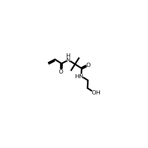 C=CC(=O)NC(C)(C)C(=O)NCCO